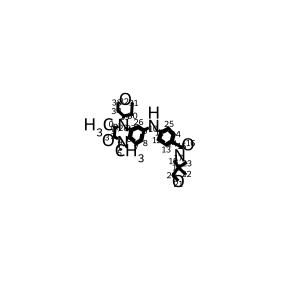 C[C@@H]1C(=O)N(C)c2ccc(Nc3ccc(C(=O)N4CC5(COC5)C4)cc3)cc2N1C1CCOCC1